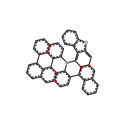 CC1CC=c2oc3ccccc3c2=C1N(c1ccccc1-c1cccc2ccccc12)c1ccccc1-c1cccc2cccc(-c3ccccc3)c12